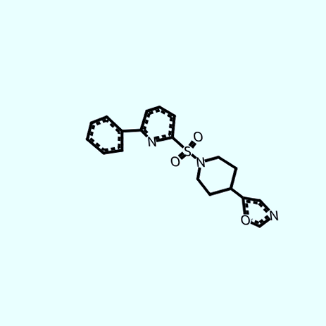 O=S(=O)(c1cccc(-c2ccccc2)n1)N1CCC(c2cnco2)CC1